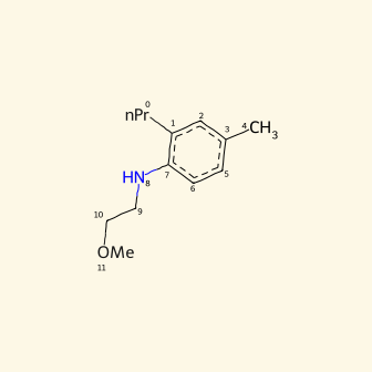 CCCc1cc(C)ccc1NCCOC